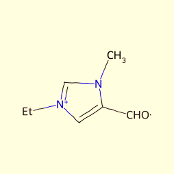 CC[n+]1cc([C]=O)n(C)c1